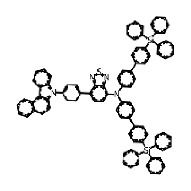 C1=C(c2ccc(N(c3ccc(-c4ccc([Si](c5ccccc5)(c5ccccc5)c5ccccc5)cc4)cc3)c3ccc(-c4ccc([Si](c5ccccc5)(c5ccccc5)c5ccccc5)cc4)cc3)c3nsnc23)CCC(n2c3ccccc3c3c4ccccc4ccc32)=C1